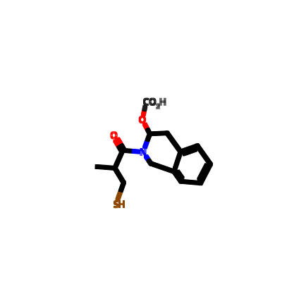 CC(CS)C(=O)N1Cc2ccccc2CC1OC(=O)O